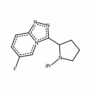 CC(C)N1CCCC1c1nnc2ccc(F)cn12